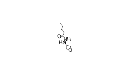 CCC=CC(=O)NNC1COC1